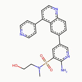 CN(CCO)S(=O)(=O)c1cc(-c2ccc3nccc(-c4ccncc4)c3c2)cnc1N